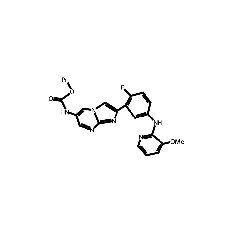 COc1cccnc1Nc1ccc(F)c(-c2cn3cc(NC(=O)OC(C)C)cnc3n2)c1